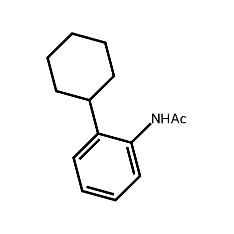 CC(=O)Nc1ccccc1C1CCCCC1